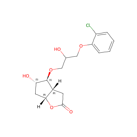 O=C1C[C@H]2[C@H](OCC(O)COc3ccccc3Cl)[C@@H](O)C[C@H]2O1